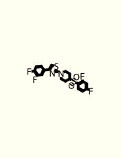 O=S(=O)(c1ccc(F)cc1F)C1CCN(c2nc(-c3ccc(F)c(F)c3)cs2)CC1